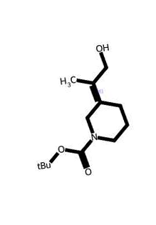 C/C(CO)=C1/CCCN(C(=O)OC(C)(C)C)C1